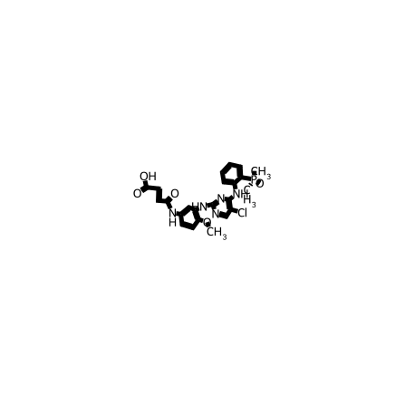 COc1ccc(NC(=O)/C=C/C(=O)O)cc1Nc1ncc(Cl)c(Nc2ccccc2P(C)(C)=O)n1